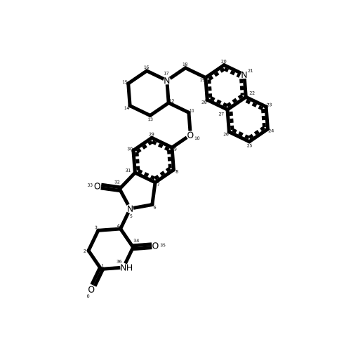 O=C1CCC(N2Cc3cc(OCC4CCCCN4Cc4cnc5ccccc5c4)ccc3C2=O)C(=O)N1